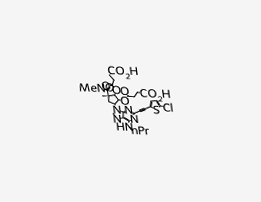 CCCNc1nc(C#Cc2ccc(Cl)s2)nc2c1ncn2[C@@H]1C[C@](C)(C(=O)NC)[C@@H](OC(=O)CCC(=O)O)[C@H]1OC(=O)CCC(=O)O